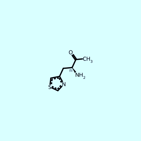 CC(=O)[C@@H](N)Cc1cscn1